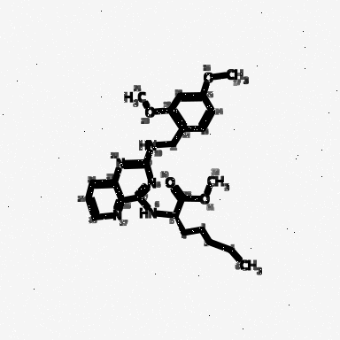 CCCCC[C@@H](Nc1nc(NCc2ccc(OC)cc2OC)nc2cccnc12)C(=O)OC